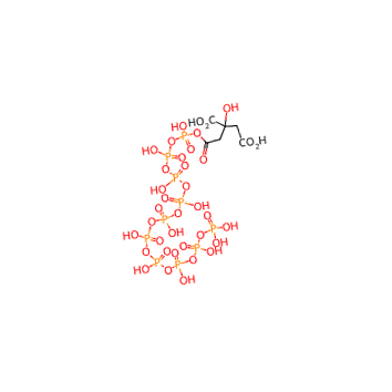 O=C(O)CC(O)(CC(=O)OP(=O)(O)OP(=O)(O)OP(=O)(O)OP(=O)(O)OP(=O)(O)OP(=O)(O)OP(=O)(O)OP(=O)(O)OP(=O)(O)OP(=O)(O)O)C(=O)O